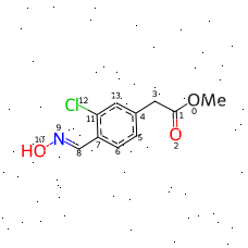 COC(=O)Cc1ccc(C=NO)c(Cl)c1